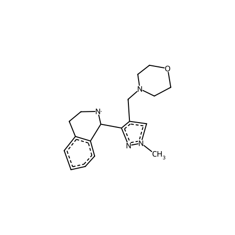 Cn1cc(CN2CCOCC2)c(C2[N]CCc3ccccc32)n1